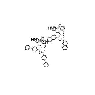 c1ccc(-c2ccc(C(CCCc3c[nH]cn3)OC(CCCc3c[nH]cn3)c3ccc(-c4ccccc4)cc3)cc2)cc1.c1ccc2cc(C(CCCc3c[nH]cn3)OC(CCCc3c[nH]cn3)c3ccc4ccccc4c3)ccc2c1